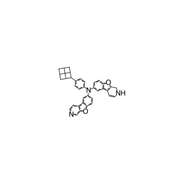 C1=Cc2c(oc3ccc(N(c4ccc(C5C6CC7CC8CC5C786)cc4)c4ccc5oc6cnccc6c5c4)cc23)CN1